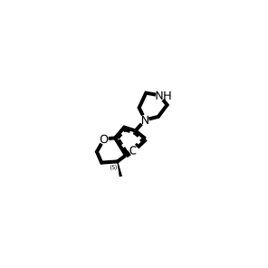 C[C@H]1CCOc2cc(N3CCNCC3)ccc21